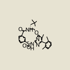 Cc1cccc(C)c1-c1nc2nc(c1C)OC[C@@H](CC(C)(C)C)NC(=O)c1cccc(c1)S(=O)(=O)N2